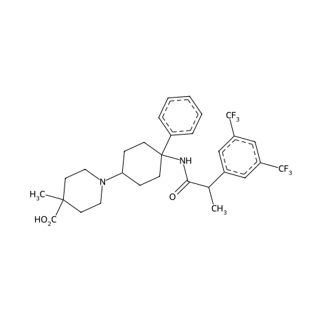 CC(C(=O)NC1(c2ccccc2)CCC(N2CCC(C)(C(=O)O)CC2)CC1)c1cc(C(F)(F)F)cc(C(F)(F)F)c1